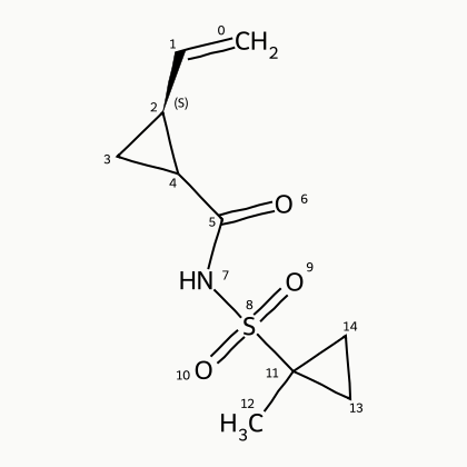 C=C[C@@H]1CC1C(=O)NS(=O)(=O)C1(C)CC1